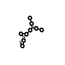 c1ccc(-c2ccc(N(c3ccc(-c4ccccc4)cc3)c3ccc(-c4ccc5c(c4)c4ccccc4n5-c4ccc5c(c4)sc4ccccc45)cc3)cc2)cc1